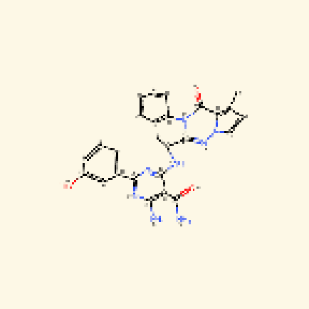 Cc1ccn2nc(C(C)Nc3nc(-c4cccc(O)c4)nc(N)c3C(N)=O)n(-c3ccccc3)c(=O)c12